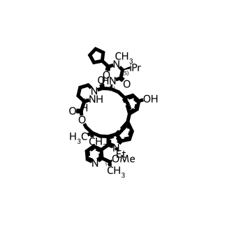 CCn1c(-c2cccnc2[C@H](C)OC)c2c3cc(ccc31)-c1cc(O)cc(c1)C[C@H](NC(=O)[C@H](C(C)C)N(C)C(=O)C1CCCC1)C(=O)N1CCC[C@H](N1)C(=O)OCC(C)(C)C2